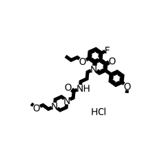 CCCOc1ccc(F)c2c(=O)c(-c3ccc(OC)cc3)cn(CCCNC(=O)CN3CCN(CCOC)CC3)c12.Cl